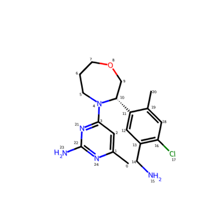 Cc1cc(N2CCCOC[C@@H]2c2cc(CN)c(Cl)cc2C)nc(N)n1